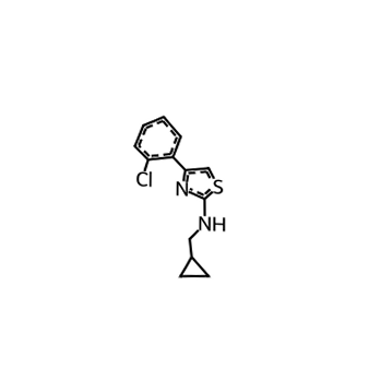 Clc1ccccc1-c1csc(NCC2CC2)n1